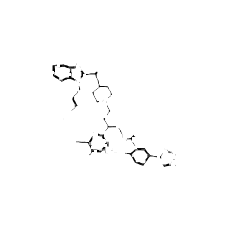 C/C=C/Cn1c(C(=O)C2CCN(CCC(CN(C)C(=O)c3cc(C4C=NN=N4)ccc3OC)c3ccc(Cl)c(Cl)c3)CC2)nc2ccccc21